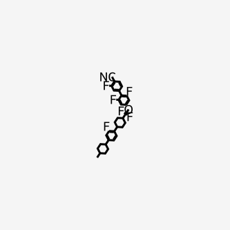 CC1CCC(c2ccc(C3CCC(C(F)(F)Oc4cc(F)c(-c5ccc(C#N)c(F)c5)c(F)c4)CC3)c(F)c2)CC1